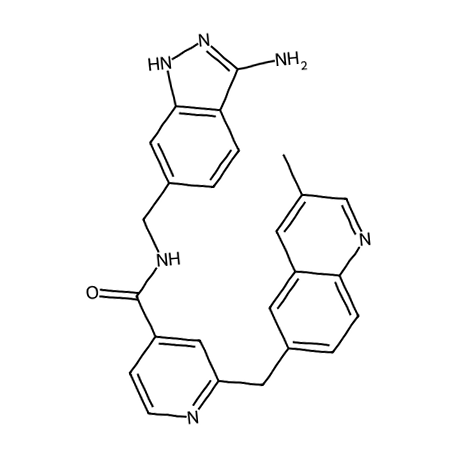 Cc1cnc2ccc(Cc3cc(C(=O)NCc4ccc5c(N)n[nH]c5c4)ccn3)cc2c1